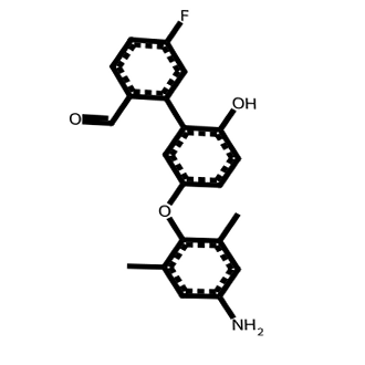 Cc1cc(N)cc(C)c1Oc1ccc(O)c(-c2cc(F)ccc2C=O)c1